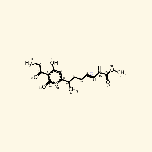 CCC(=O)c1c(O)cc(C(C)CC/C=C/NC(=O)OC)oc1=O